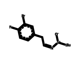 CC(C)(C)[S+]([O-])/N=C\Cc1ccc(F)c(Br)c1